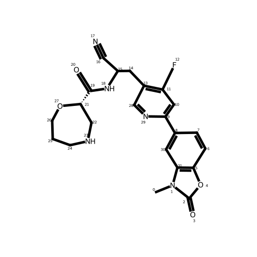 Cn1c(=O)oc2ccc(-c3cc(F)c(CC(C#N)NC(=O)[C@@H]4CNCCCO4)cn3)cc21